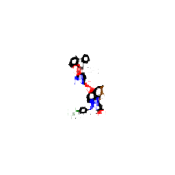 COC(=O)C(C)(C)Cc1c2c3c(c(OCc4ccc(O[Si](c5ccccc5)(c5ccccc5)C(C)(C)C)cn4)ccc3n1Cc1ccc(Cl)cc1)CC(C)S2